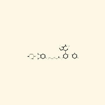 Cn1cc(-c2cc(NC(=O)CCCCNc3ccc4c(c3)C(=O)N(C3CCC(=O)NC3=O)C4=O)ccc2Oc2ccc(F)cc2F)c2cc[nH]c2c1=O